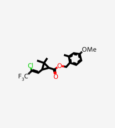 COc1ccc(COC(=O)C2C(C=C(Cl)C(F)(F)F)C2(C)C)c(C)c1